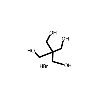 Br.OCC(CO)(CO)CO